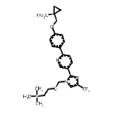 CS(C)(C)CCOCn1cc(C(F)(F)F)nc1-c1ccc(-c2ccc(OCC3(C(=O)O)CC3)cc2)nc1